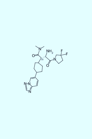 CN(C)C(=O)[C@@H](C1CCC(c2ccc3ncnn3c2)CC1)C(N)C(=O)N1CCC(F)(F)C1